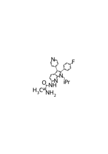 CC(C)Cn1c(-c2ccc(F)cc2)c(-c2ccncc2)c2ccc(NC(=O)[C@H](C)N)nc21